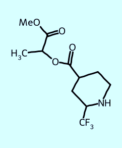 COC(=O)C(C)OC(=O)C1CCNC(C(F)(F)F)C1